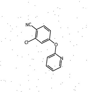 N#Cc1ccc(Oc2ccccn2)cc1Cl